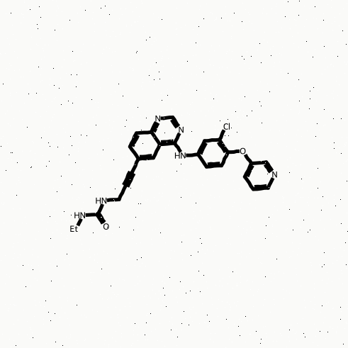 CCNC(=O)NCC#Cc1ccc2ncnc(Nc3ccc(Oc4cccnc4)c(Cl)c3)c2c1